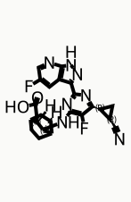 N#C[C@@H]1C[C@H]1c1nc(-c2n[nH]c3ncc(F)cc23)nc(N[C@H]2C3CCC(CC3)[C@@H]2C(=O)O)c1F